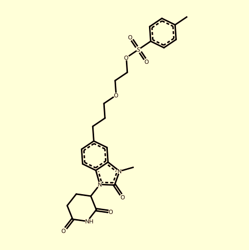 Cc1ccc(S(=O)(=O)OCCOCCCc2ccc3c(c2)n(C)c(=O)n3C2CCC(=O)NC2=O)cc1